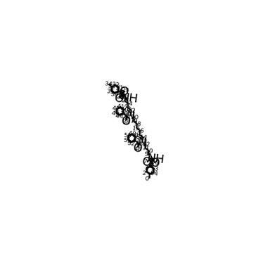 Cc1ccc(S(=O)(=O)NCCCCN(CCCCCCCN(CCCCNS(=O)(=O)c2ccc(C)cc2)C(=O)c2ccccc2)C(=O)c2ccccc2)cc1